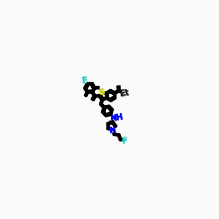 C=C(CC)c1ccc2c(Cc3ccc(N[C@H]4CCN(CCCF)C4)cc3)c(C(=C)c3c(C)cc(F)cc3C)sc2c1